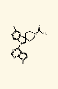 Cc1ccc2c(c1)C1(CCN(C(N)=O)CC1)CN2c1ncnc2[nH]ccc12